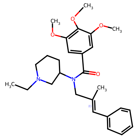 CCN1CCCC(N(C/C(C)=C/c2ccccc2)C(=O)c2cc(OC)c(OC)c(OC)c2)C1